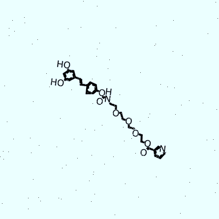 O=C(NCCOCCOCCOCCOC(=O)c1cccnc1)Oc1ccc(/C=C/c2cc(O)cc(O)c2)cc1